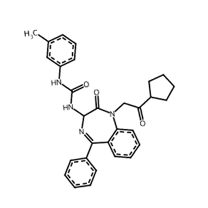 Cc1cccc(NC(=O)NC2N=C(c3ccccc3)c3ccccc3N(CC(=O)C3CCCC3)C2=O)c1